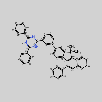 CC1(C)c2cc(-c3cccc(C4N=C(c5ccccc5)N=C(c5ccccc5)N4)c3)ccc2-c2c(-c3ccccc3)cc3ccccc3c21